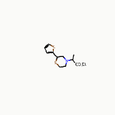 CCOC(=O)C(C)N1CCSC(c2cccs2)C1